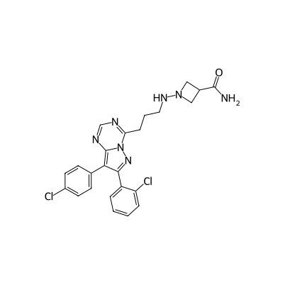 NC(=O)C1CN(NCCCc2ncnc3c(-c4ccc(Cl)cc4)c(-c4ccccc4Cl)nn23)C1